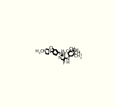 CN1CCN(c2ccc(Nc3ncc(F)c(NC4CC(C)(C)N(C)C(C)(C)C4)n3)cc2Cl)CC1